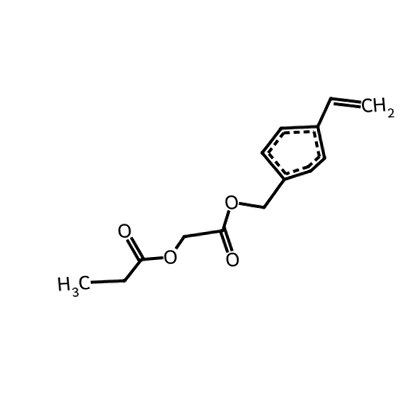 C=Cc1ccc(COC(=O)COC(=O)CC)cc1